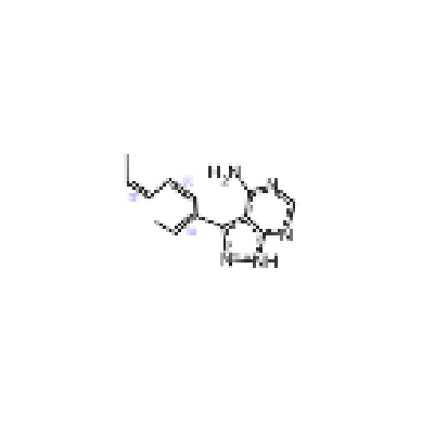 C\C=C/C=C\C(=C/C)c1n[nH]c2ncnc(N)c12